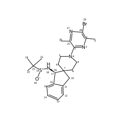 Cc1nc(N2CCC3(CC2)Cc2ccccc2[C@H]3N[S+]([O-])C(C)(C)C)c(C)nc1Br